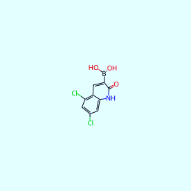 O=c1[nH]c2cc(Cl)cc(Cl)c2cc1B(O)O